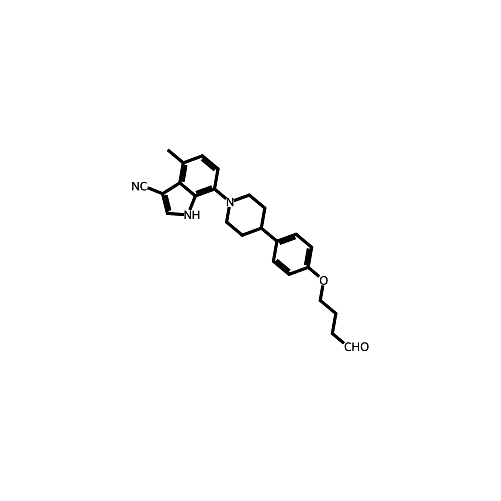 Cc1ccc(N2CCC(c3ccc(OCCCC=O)cc3)CC2)c2[nH]cc(C#N)c12